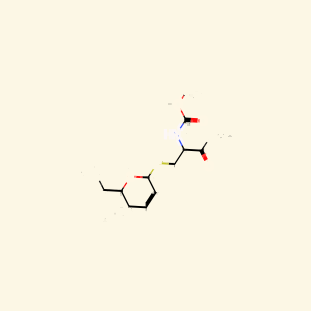 COC(=O)C(CSC1C=C[C@H](OC(C)=O)C(COC(C)=O)O1)NC(=O)OC(C)(C)C